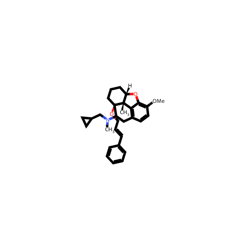 COc1ccc2c3c1O[C@H]1CCC[C@@](OC/C=C/c4ccccc4)(C(N(C)CC4CC4)C2)[C@@]31C